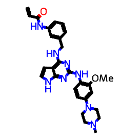 C=CC(=O)Nc1cccc(CNc2nc(Nc3ccc(N4CCN(C)CC4)cc3OC)nc3[nH]ccc23)c1